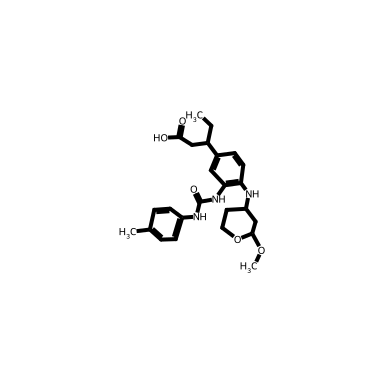 CCC(CC(=O)O)c1ccc(NC2CCOC(OC)C2)c(NC(=O)Nc2ccc(C)cc2)c1